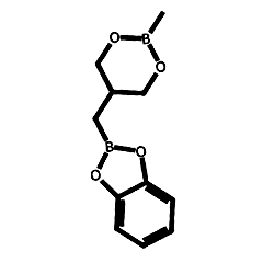 CB1OCC(CB2Oc3ccccc3O2)CO1